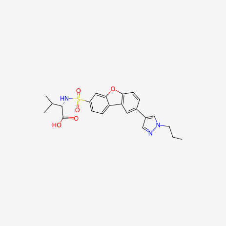 CCCn1cc(-c2ccc3oc4cc(S(=O)(=O)N[C@H](C(=O)O)C(C)C)ccc4c3c2)cn1